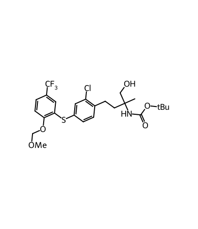 COCOc1ccc(C(F)(F)F)cc1Sc1ccc(CCC(C)(CO)NC(=O)OC(C)(C)C)c(Cl)c1